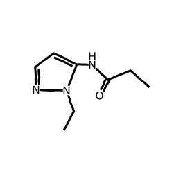 CCC(=O)Nc1ccnn1CC